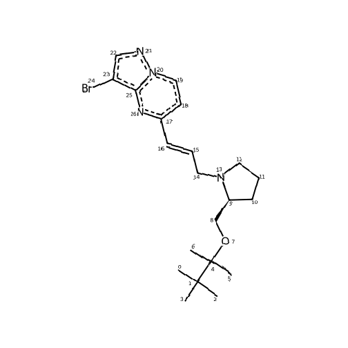 CC(C)(C)C(C)(C)OC[C@@H]1CCCN1C/C=C/c1ccn2ncc(Br)c2n1